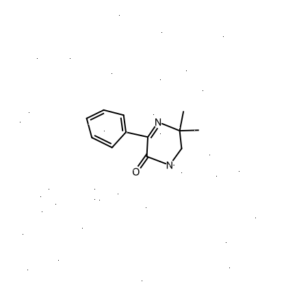 CC1(C)C[N]C(=O)C(c2ccccc2)=N1